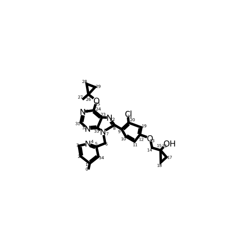 Cc1ccnc(Cn2c(-c3ccc(OCC4(O)CC4)cc3Cl)nc3c(OC4(C)CC4)ncnc32)c1